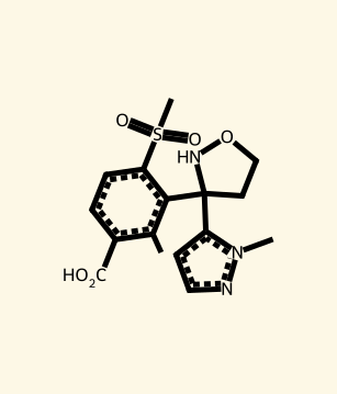 Cc1c(C(=O)O)ccc(S(C)(=O)=O)c1C1(c2ccnn2C)CCON1